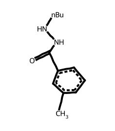 CCCCNNC(=O)c1cccc(C)c1